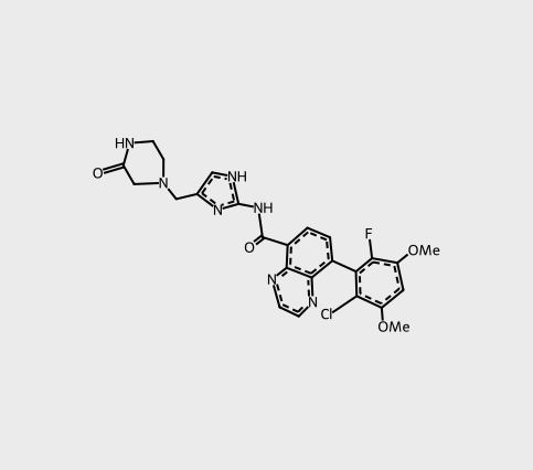 COc1cc(OC)c(Cl)c(-c2ccc(C(=O)Nc3nc(CN4CCNC(=O)C4)c[nH]3)c3nccnc23)c1F